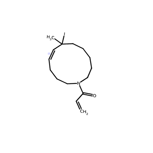 C=CC(=O)N1CCC/C=C\C(C)(I)CCCCC1